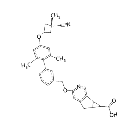 Cc1cc(O[C@H]2C[C@@](C)(C#N)C2)cc(C)c1-c1cccc(COc2cc3c(cn2)C2C(C3)C2C(=O)O)c1